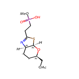 COP(=O)(O)CCC1=N[C@@H]2[C][C][C@H](COC(C)=O)O[C@@H]2S1